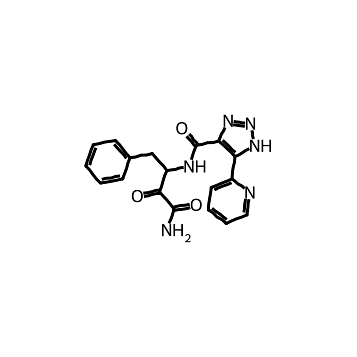 NC(=O)C(=O)C(Cc1ccccc1)NC(=O)c1nn[nH]c1-c1ccccn1